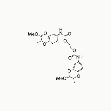 COC(=O)C(C)OC1=CC=C(NC(=O)OCCOC(=O)Nc2ccc(OC(C)C(=O)OC)cc2)CC1